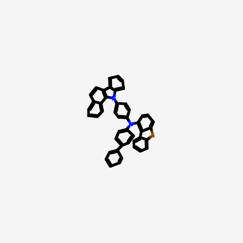 c1ccc(-c2ccc(N(c3ccc(-n4c5ccccc5c5ccc6ccccc6c54)cc3)c3cccc4sc5ccccc5c34)cc2)cc1